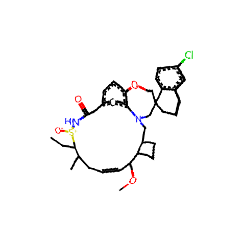 CCC1C(C)C/C=C/C(OC)C2CCC2CN2CC3(CCCc4cc(Cl)ccc43)COc3ccc(cc32)C(=O)N[S+]1[O-]